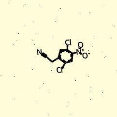 N#CCc1cc(Cl)c([N+](=O)[O-])cc1Cl